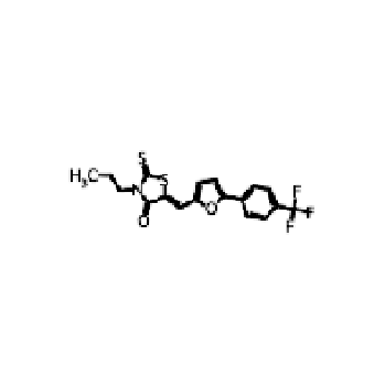 CCCN1C(=O)/C(=C/c2ccc(-c3ccc(C(F)(F)F)cc3)o2)SC1=S